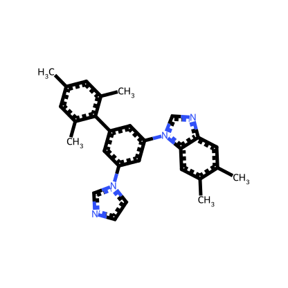 Cc1cc(C)c(-c2cc(-n3ccnc3)cc(-n3cnc4cc(C)c(C)cc43)c2)c(C)c1